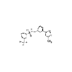 Cc1cc(-c2cccc(CNS(=O)(=O)c3cccc(C(F)(F)F)c3)c2)ncn1